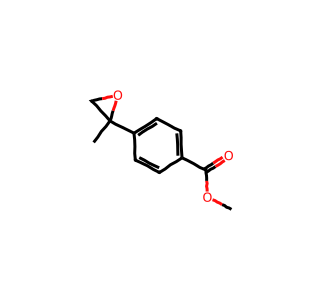 COC(=O)c1ccc(C2(C)CO2)cc1